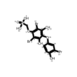 Cc1c(Br)c(OCP(=O)(O)O)c(Br)c(C)c1Oc1ccc(O)c(C(C)C)c1